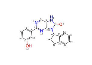 O=c1[nH]c2cnc(-c3cccc(O)c3)nc2n1C1CCc2ccccc21